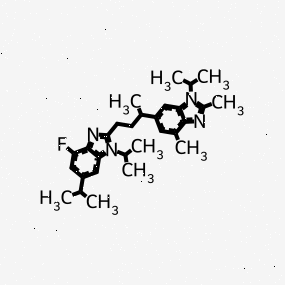 Cc1cc(C(C)CCc2nc3c(F)cc(C(C)C)cc3n2C(C)C)cc2c1nc(C)n2C(C)C